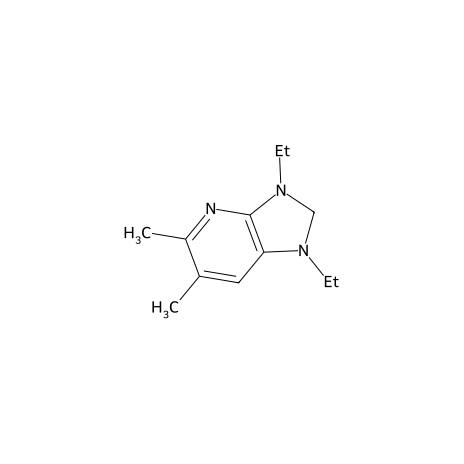 CCN1CN(CC)c2nc(C)c(C)cc21